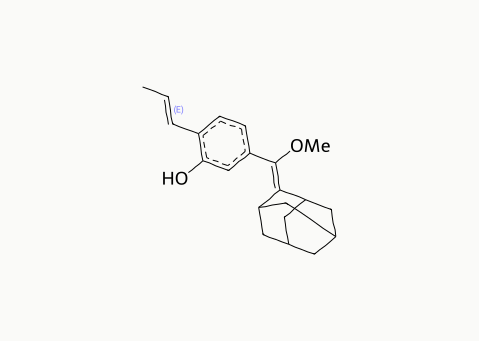 C/C=C/c1ccc(C(OC)=C2C3CC4CC(C3)CC2C4)cc1O